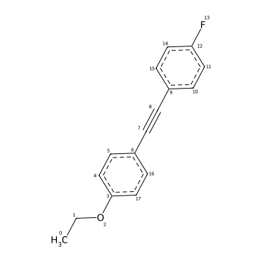 CCOc1ccc(C#Cc2ccc(F)cc2)cc1